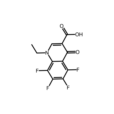 CCn1cc(C(=O)O)c(=O)c2c(F)c(F)c(F)c(F)c21